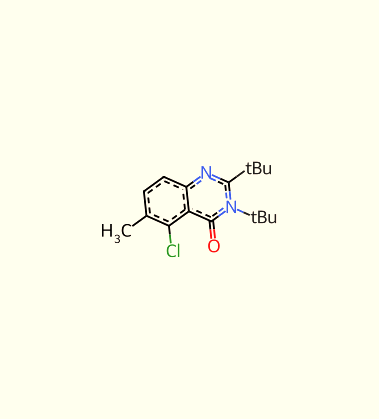 Cc1ccc2nc(C(C)(C)C)n(C(C)(C)C)c(=O)c2c1Cl